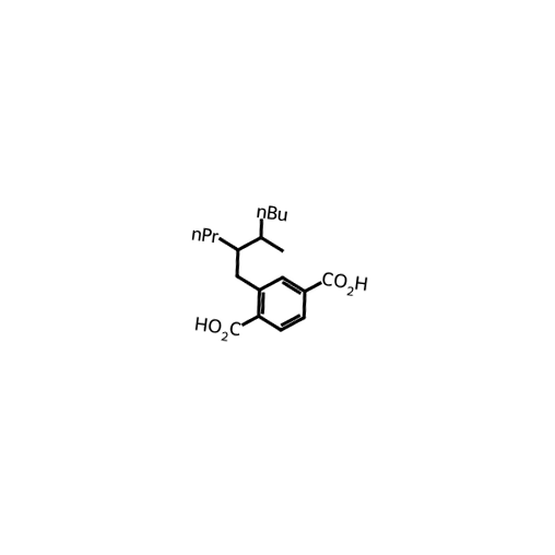 CCCCC(C)C(CCC)Cc1cc(C(=O)O)ccc1C(=O)O